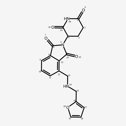 O=C1CCC(N2C(=O)c3cccc(CNCc4ccco4)c3C2=O)C(=O)N1